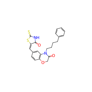 O=C1NC(=S)SC1=Cc1ccc2c(c1)N(CCCCc1ccccc1)C(=O)CO2